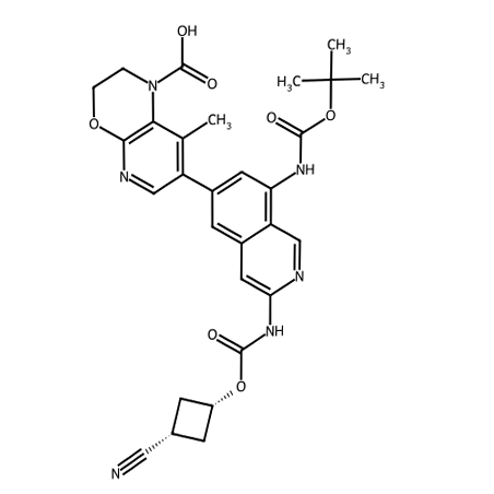 Cc1c(-c2cc(NC(=O)OC(C)(C)C)c3cnc(NC(=O)O[C@H]4C[C@@H](C#N)C4)cc3c2)cnc2c1N(C(=O)O)CCO2